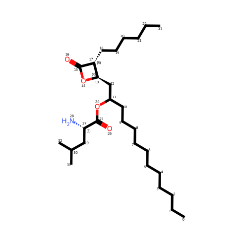 CCCCCCCCCCCC(C[C@H]1OC(=O)[C@@H]1CCCCCC)OC(=O)[C@@H](N)CC(C)C